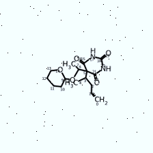 C=CCC(C)C1(C(C)OC2CCCCO2)C(=O)NC(=O)NC1=O